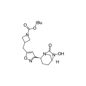 CC(C)(C)OC(=O)N1CC(Cc2cc([C@@H]3CC[C@H]4CN3C(=O)N4O)no2)C1